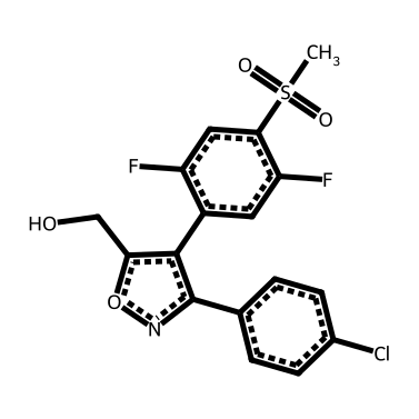 CS(=O)(=O)c1cc(F)c(-c2c(-c3ccc(Cl)cc3)noc2CO)cc1F